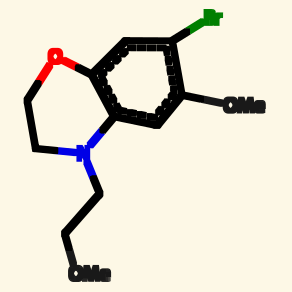 COCCN1CCOc2cc(Br)c(OC)cc21